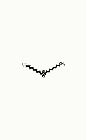 CCCCCCCCCC[Si](Cl)(Cl)CCCCCCCCCC